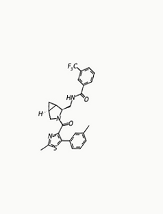 Cc1cccc(-c2sc(C)nc2C(=O)N2C[C@H]3CC3[C@H]2CNC(=O)c2cccc(C(F)(F)F)c2)c1